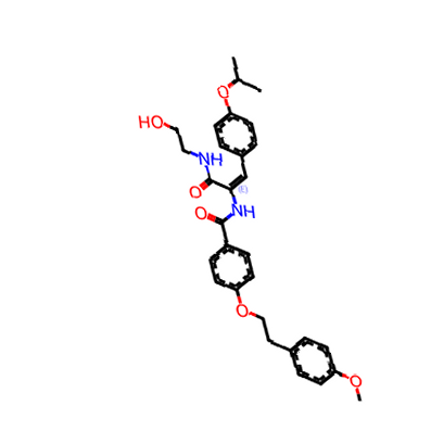 COc1ccc(CCOc2ccc(C(=O)N/C(=C/c3ccc(OC(C)C)cc3)C(=O)NCCO)cc2)cc1